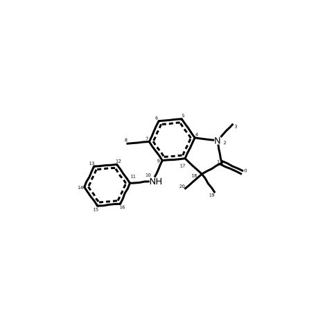 C=C1N(C)c2ccc(C)c(Nc3ccccc3)c2C1(C)C